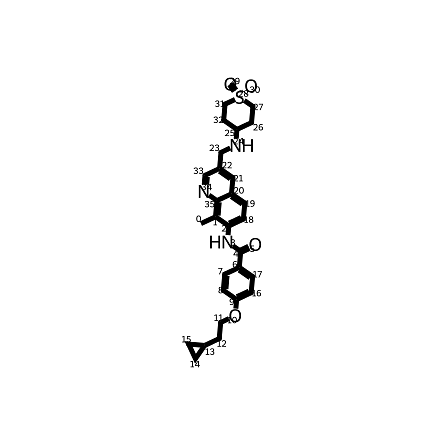 Cc1c(NC(=O)c2ccc(OCCC3CC3)cc2)ccc2cc(CNC3CCS(=O)(=O)CC3)cnc12